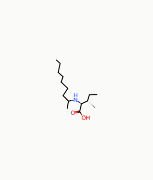 CCCCCCCC(C)N[C@H](C(=O)O)[C@@H](C)CC